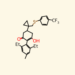 CCc1cc(C)cc(CC)c1C1=C(O)CC(C2(CSc3ccc(C(F)(F)F)cc3)CC2)CC1=O